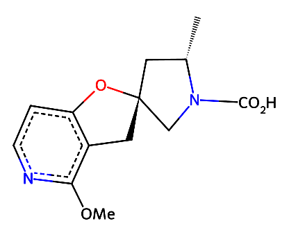 COc1nccc2c1C[C@]1(C[C@H](C)N(C(=O)O)C1)O2